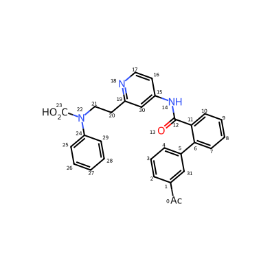 CC(=O)c1cccc(-c2ccccc2C(=O)Nc2ccnc(CCN(C(=O)O)c3ccccc3)c2)c1